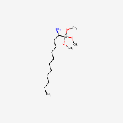 CCCCCCCCCCC(N)[Si](OC)(OC)OC